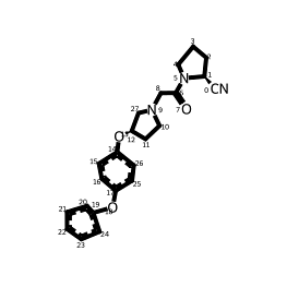 N#C[C@@H]1CCCN1C(=O)CN1CC[C@H](Oc2ccc(Oc3ccccc3)cc2)C1